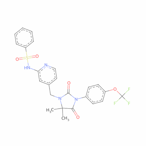 CC1(C)C(=O)N(c2ccc(OC(F)(F)F)cc2)C(=O)N1Cc1ccnc(NS(=O)(=O)c2ccccc2)c1